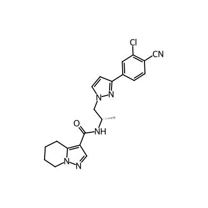 C[C@@H](Cn1ccc(-c2ccc(C#N)c(Cl)c2)n1)NC(=O)c1cnn2c1CCCC2